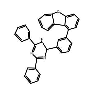 c1ccc(C2=NC(c3cccc(-c4cccc5oc6ccccc6c45)c3)NC(c3ccccc3)=N2)cc1